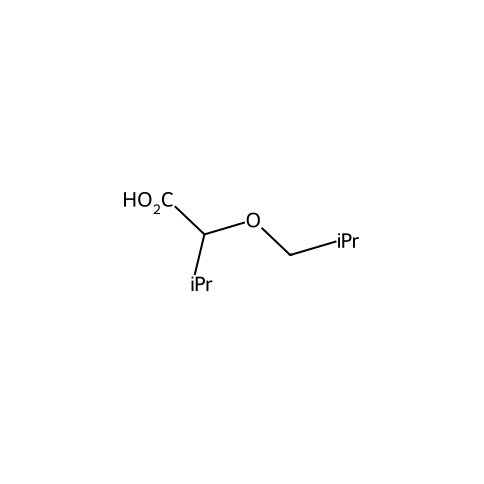 CC(C)COC(C(=O)O)C(C)C